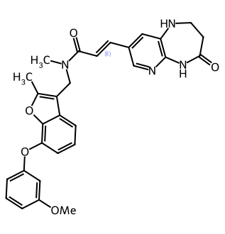 COc1cccc(Oc2cccc3c(CN(C)C(=O)/C=C/c4cnc5c(c4)NCCC(=O)N5)c(C)oc23)c1